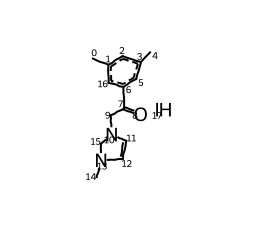 Cc1cc(C)cc(C(=O)CN2C=CN(C)C2)c1.I